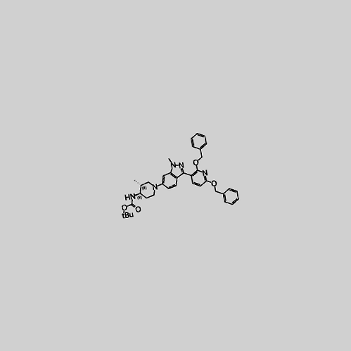 C[C@@H]1CN(c2ccc3c(-c4ccc(OCc5ccccc5)nc4OCc4ccccc4)nn(C)c3c2)CC[C@H]1NC(=O)OC(C)(C)C